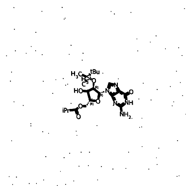 CC(C)C(=O)OC[C@H]1O[C@@H](n2cnc3c(=O)[nH]c(N)nc32)[C@H](O[Si](C)(C)C(C)(C)C)[C]1O